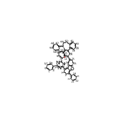 c1ccc(-c2nc(-c3ccccc3)nc(-c3ccc(-c4ccccc4)c4oc5ccc(-c6ccc7c(c6)-c6ccccc6CCC7c6ccccc6)cc5c34)n2)cc1